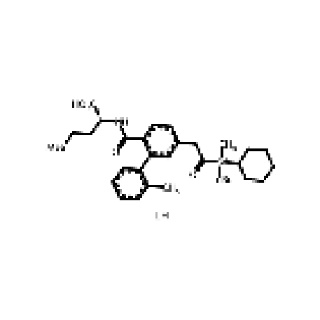 CCCC[N+](C)(C(=O)Cc1ccc(C(=O)N[C@@H](CCSC)C(=O)O)c(-c2ccccc2C)c1)C1CCCCC1.[LiH]